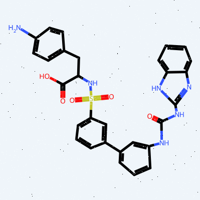 Nc1ccc(CC(NS(=O)(=O)c2cccc(-c3cccc(NC(=O)Nc4nc5ccccc5[nH]4)c3)c2)C(=O)O)cc1